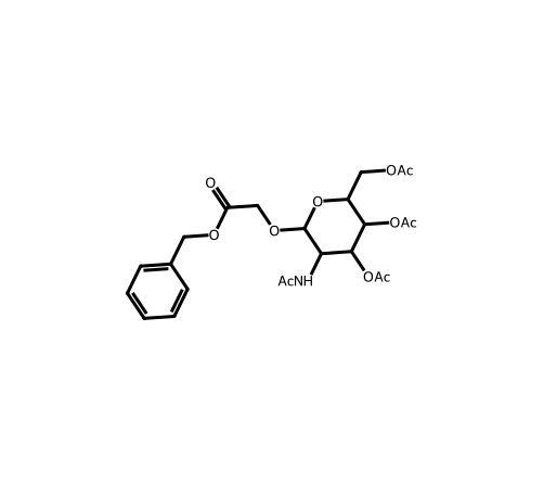 CC(=O)NC1C(OCC(=O)OCc2ccccc2)OC(COC(C)=O)C(OC(C)=O)C1OC(C)=O